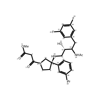 COC(=O)CC(=O)N1CC[C@@](NC[C@H](O)C(Cc2cc(F)cc(F)c2)NC(C)=O)(c2cccc(C(C)C)c2)C1